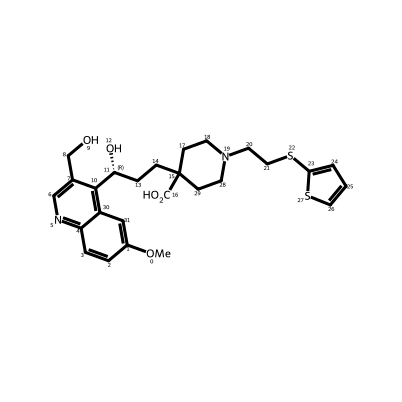 COc1ccc2ncc(CO)c([C@H](O)CCC3(C(=O)O)CCN(CCSc4cccs4)CC3)c2c1